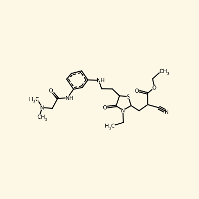 CCOC(=O)C(C#N)CC1SC(CCNc2cccc(NC(=O)CN(C)C)c2)C(=O)N1CC